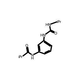 CC(C)NC(=O)Nc1cccc(NC(=O)C(C)C)c1